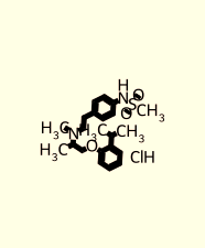 CC(C)c1ccccc1OCC(C)N(C)CCc1ccc(NS(C)(=O)=O)cc1.Cl